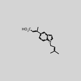 CC(C)=CCn1ccc2cc(/C(C)=C/C(=O)O)ccc21